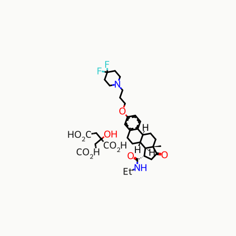 CCNC(=O)[C@H]1CC(=O)[C@@]2(C)CC[C@@H]3c4ccc(OCCCN5CCC(F)(F)CC5)cc4CC[C@H]3[C@H]12.O=C(O)CC(O)(CC(=O)O)C(=O)O